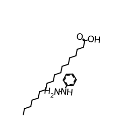 CCCCCCCCCCCCCCCCCC(=O)O.NNc1ccccc1